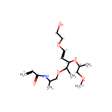 C=CC(=O)NC(C)COC(C)C(/C=C/OCCO)OC(C)COC